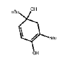 CCCCC1=C(O)C=CC(O)(CCCC)C1